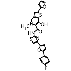 CN1Cc2cc(-c3ccco3)sc2C(O)=C1C(=O)Nc1nc(-c2ccc(-c3ccc(F)cc3)o2)cs1